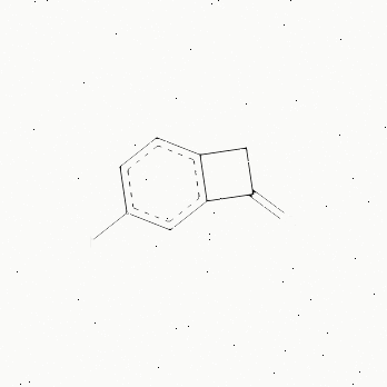 O=C1Cc2ccc(I)cc21